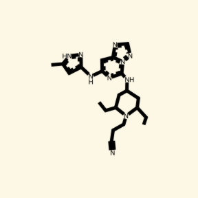 CCC1CC(Nc2nc(Nc3cc(C)[nH]n3)cc3ncnn23)CC(CC)N1CCC#N